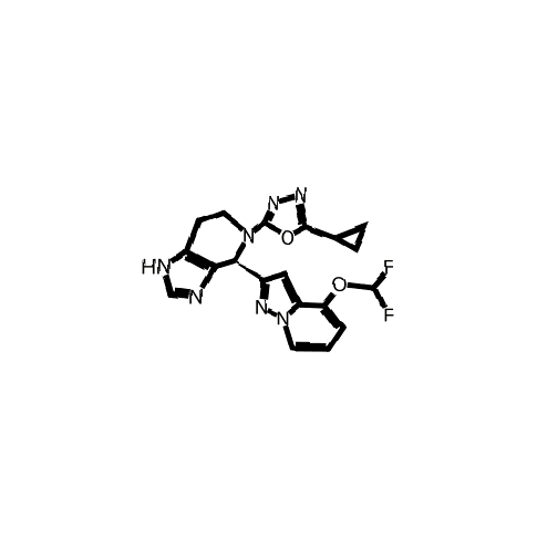 FC(F)Oc1cccn2nc([C@H]3c4nc[nH]c4CCN3c3nnc(C4CC4)o3)cc12